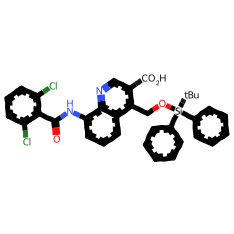 CC(C)(C)[Si](OCc1c(C(=O)O)cnc2c(NC(=O)c3c(Cl)cccc3Cl)cccc12)(c1ccccc1)c1ccccc1